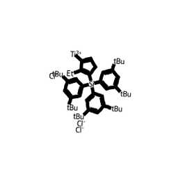 CCC1=C([Si](c2cc(C(C)(C)C)cc(C(C)(C)C)c2)(c2cc(C(C)(C)C)cc(C(C)(C)C)c2)c2cc(C(C)(C)C)cc(C(C)(C)C)c2)CC=[C]1[Ti+3].[Cl-].[Cl-].[Cl-]